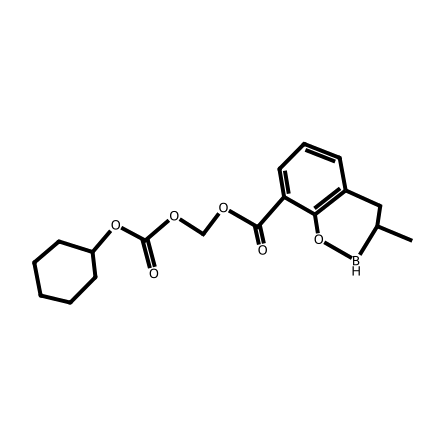 CC1BOc2c(cccc2C(=O)OCOC(=O)OC2CCCCC2)C1